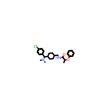 CC(Oc1ccccc1)C(=O)NCC1CCC(C(c2ccc(Cl)cc2)N(C)C)CC1